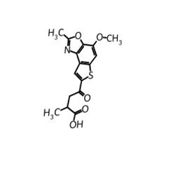 COc1cc2sc(C(=O)CC(C)C(=O)O)cc2c2nc(C)oc12